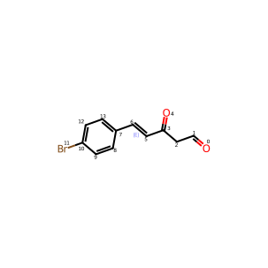 O=CCC(=O)/C=C/c1ccc(Br)cc1